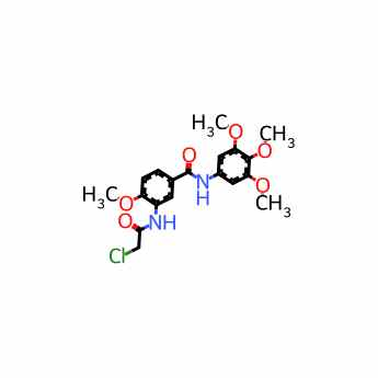 COc1ccc(C(=O)Nc2cc(OC)c(OC)c(OC)c2)cc1NC(=O)CCl